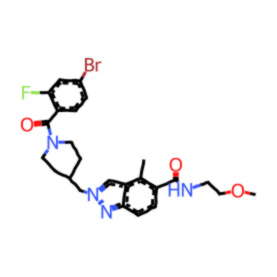 COCCNC(=O)c1ccc2nn(CC3CCN(C(=O)c4ccc(Br)cc4F)CC3)cc2c1C